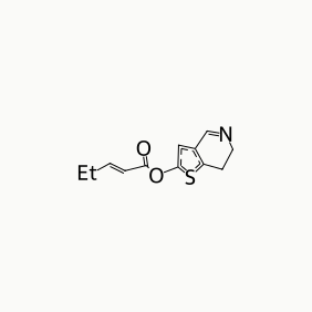 CCC=CC(=O)Oc1cc2c(s1)CCN=C2